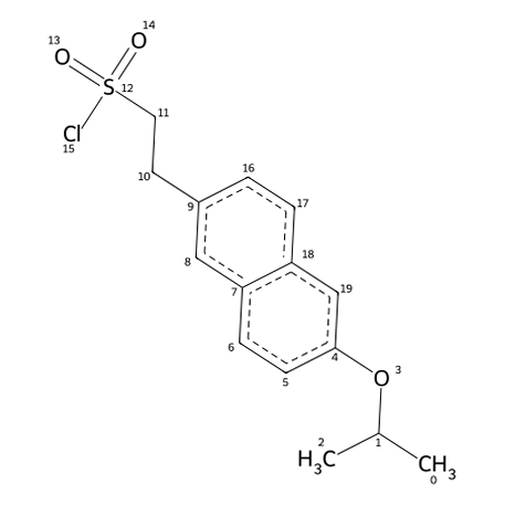 CC(C)Oc1ccc2cc(CCS(=O)(=O)Cl)ccc2c1